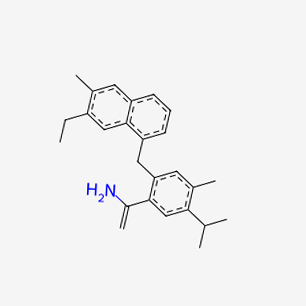 C=C(N)c1cc(C(C)C)c(C)cc1Cc1cccc2cc(C)c(CC)cc12